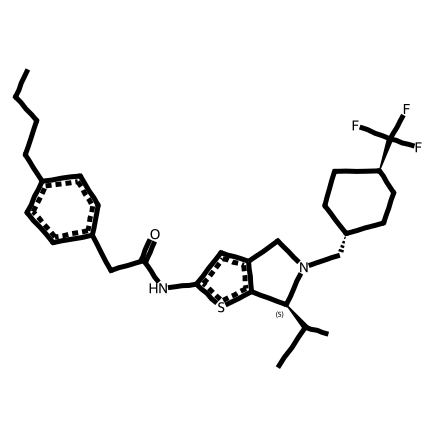 CCCCc1ccc(CC(=O)Nc2cc3c(s2)[C@H](C(C)C)N(C[C@H]2CC[C@H](C(F)(F)F)CC2)C3)cc1